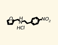 Cl.O=[N+]([O-])c1ccc(CCNCc2ccco2)cc1